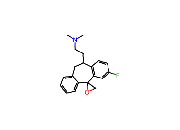 CN(C)CCC1Cc2ccccc2C2(CO2)c2cc(F)ccc21